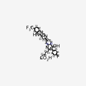 CC(C)/C=C1\C(=C/CC2=NO[C@](C)(c3nc4ccc(C(F)(F)F)cc4[nH]3)C2)N=C(CCCCC(=O)O)N(c2ccc(F)cc2)[C@H]1O